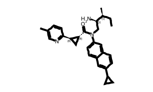 CC[C@H](C)[C@H](N)CN(C(=O)[C@@H]1C[C@H]1c1ccc(C)cn1)c1ccc2cc(C3CC3)ccc2c1